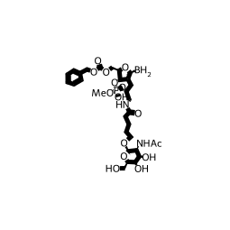 B[C@@H]1O[C@H](COC(=O)OCc2ccccc2)[C@H](OP(=O)(O)OC)C1CCCNC(=O)CCCCO[C@@H]1O[C@H](CO)[C@H](O)[C@H](O)[C@H]1NC(C)=O